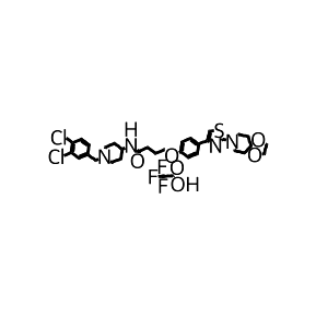 O=C(CCCOc1ccc(-c2csc(N3CCC4(CC3)OCCO4)n2)cc1)NC1CCN(Cc2ccc(Cl)c(Cl)c2)CC1.O=C(O)C(F)(F)F